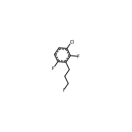 Fc1ccc(Cl)c(F)c1CCCI